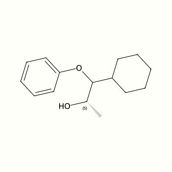 C[C@H](O)C(Oc1ccccc1)C1CCCCC1